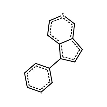 [c]1cccc(-c2ccc3csccc2-3)c1